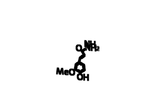 COc1cc(/C=C/C(=O)NN)ccc1O